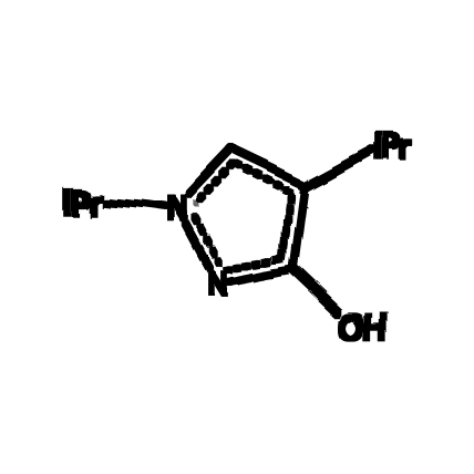 CC(C)c1cn(C(C)C)nc1O